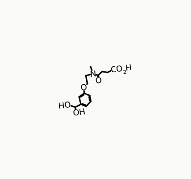 CN(CCOc1cccc(C(O)O)c1)C(=O)CCC(=O)O